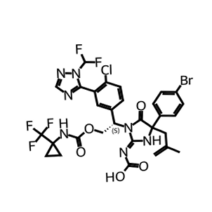 C=C(C)CC1(c2ccc(Br)cc2)NC(=NC(=O)O)N([C@H](COC(=O)NC2(C(F)(F)F)CC2)c2ccc(Cl)c(-c3ncnn3C(F)F)c2)C1=O